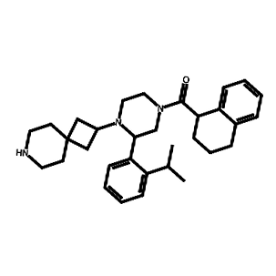 CC(C)c1ccccc1C1CN(C(=O)C2CCCc3ccccc32)CCN1C1CC2(CCNCC2)C1